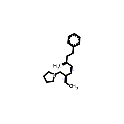 C=C(/C=C\C(=C/C)CN1CCCC1)CCc1ccccc1